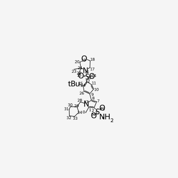 Cc1c(S(N)(=O)=O)cc(-c2ccc(S(=O)(=O)N3CCOCC3(C)C)c(C(C)(C)C)c2)n1CC1CCCCC1